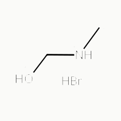 Br.CNCO